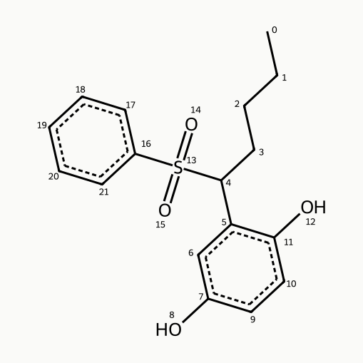 CCCCC(c1cc(O)ccc1O)S(=O)(=O)c1ccccc1